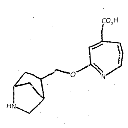 O=C(O)c1ccnc(OCC2CC3CC2CN3)c1